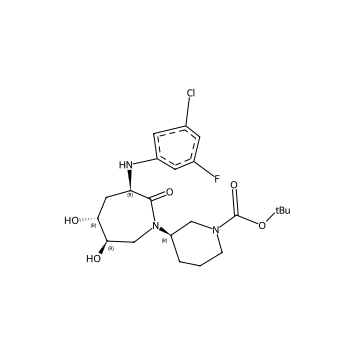 CC(C)(C)OC(=O)N1CCC[C@@H](N2C[C@@H](O)[C@H](O)C[C@@H](Nc3cc(F)cc(Cl)c3)C2=O)C1